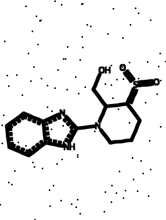 O=S(=O)=C1CCCN(c2nc3ccccc3[nH]2)C1CO